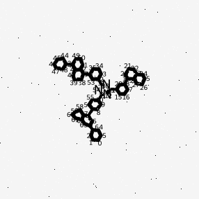 c1ccc(-c2cc(-c3ccc(-c4nc(-c5cccc(-c6cccc7ccccc67)c5)nc(-c5cccc(-c6cccc7c(-c8ccccc8)cccc67)c5)n4)cc3)c3ccccc3c2)cc1